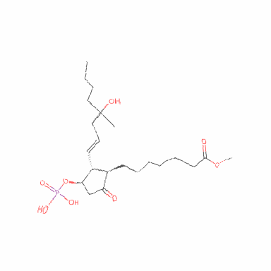 CCCCC(C)(O)C/C=C/[C@H]1[C@H](OP(=O)(O)O)CC(=O)[C@@H]1CCCCCCC(=O)OC